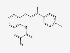 C=C(CC)C(=C)Sc1ccccc1S/C=C(\C)c1ccc(C)cc1